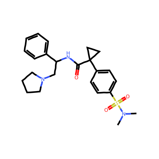 CN(C)S(=O)(=O)c1ccc(C2(C(=O)NC(CN3CCCC3)c3ccccc3)CC2)cc1